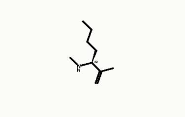 C=C(C)[C@H](CCCC)NC